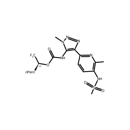 CCCCC[C@H](OC(=O)Nc1c(-c2ccc(NS(C)(=O)=O)c(C)n2)nnn1C)C(F)(F)F